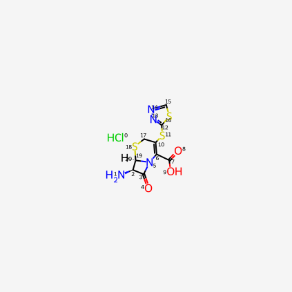 Cl.N[C@@H]1C(=O)N2C(C(=O)O)=C(Sc3nncs3)CS[C@H]12